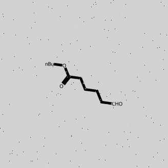 CCCCOC(=O)CCCCC=O